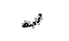 C[C@@H](CC(=O)OC(C)(C)C)C(=O)NC1CN(C(=O)/C=C/c2cc3ccsc3c(Cl)c2Cl)C1